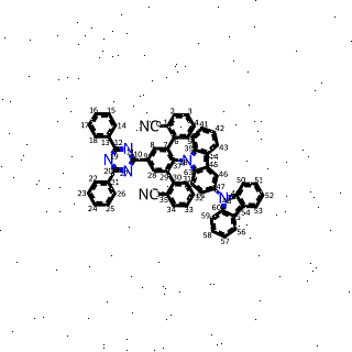 N#Cc1ccccc1-c1cc(-c2nc(-c3ccccc3)nc(-c3ccccc3)n2)cc(-c2ccccc2C#N)c1-n1c2ccccc2c2cc(-n3c4ccccc4c4ccccc43)ccc21